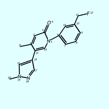 Cc1cc(=O)n(-c2cccc(CF)c2)cc1-c1cnn(C)c1